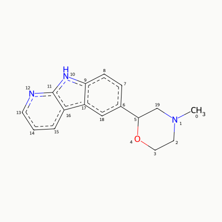 CN1CCOC(c2ccc3[nH]c4ncccc4c3c2)C1